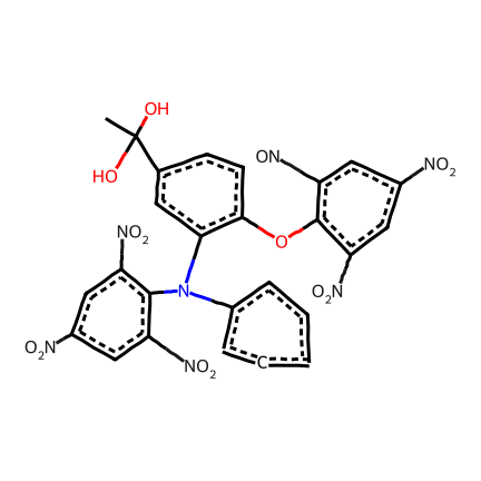 CC(O)(O)c1ccc(Oc2c(N=O)cc([N+](=O)[O-])cc2[N+](=O)[O-])c(N(c2ccccc2)c2c([N+](=O)[O-])cc([N+](=O)[O-])cc2[N+](=O)[O-])c1